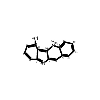 Clc1cccc2nc3cc4ccccc4[nH]c-3c12